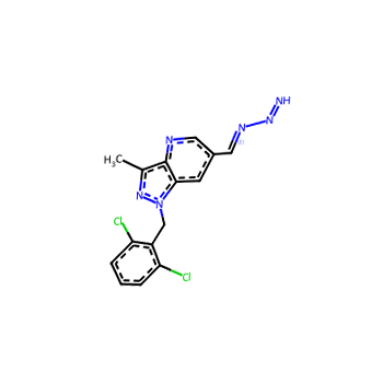 Cc1nn(Cc2c(Cl)cccc2Cl)c2cc(/C=N/N=N)cnc12